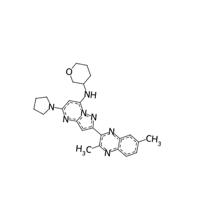 Cc1ccc2nc(C)c(-c3cc4nc(N5CCCC5)cc(NC5CCCOC5)n4n3)nc2c1